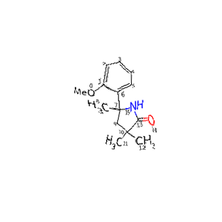 COc1ccccc1C1(C)CC(C)(C)C(=O)N1